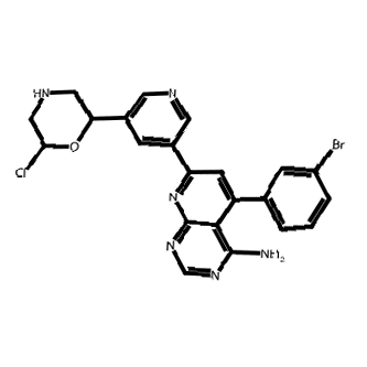 Nc1ncnc2nc(-c3cncc(C4CNCC(Cl)O4)c3)cc(-c3cccc(Br)c3)c12